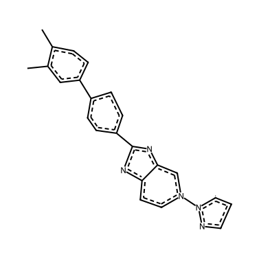 Cc1ccc(-c2ccc(-c3nc4ccn(-n5[c]ccn5)cc-4n3)cc2)cc1C